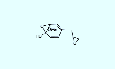 COC12C=C(CC3CO3)C=CC1(O)O2